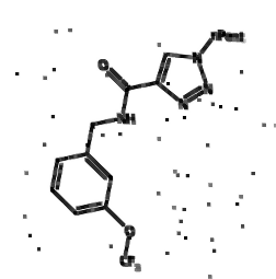 [CH2]CCCCn1cc(C(=O)NCc2cccc(OC(F)(F)F)c2)nn1